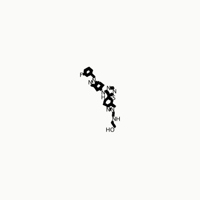 OCCNCCn1cc2c(n1)CCc1c-2sc2ncnc(Nc3ccc4c(cnn4Cc4cccc(F)c4)c3)c12